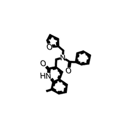 Cc1cccc2cc(CN(Cc3ccco3)C(=O)c3ccccc3)c(=O)[nH]c12